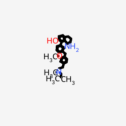 COc1ccc(-c2c(O)ccc3c2CCCC3)c(N)c1Cc1ccc(CCN(C)CC(C)C)cc1